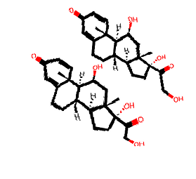 C[C@]12C=CC(=O)C=C1CC[C@@H]1[C@@H]2[C@@H](O)C[C@@]2(C)[C@H]1CC[C@]2(O)C(=O)CO.C[C@]12C=CC(=O)C=C1CC[C@@H]1[C@@H]2[C@@H](O)C[C@@]2(C)[C@H]1CC[C@]2(O)C(=O)CO